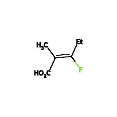 CCC(F)=C(C)C(=O)O